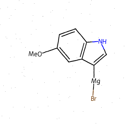 COc1ccc2[nH]c[c]([Mg][Br])c2c1